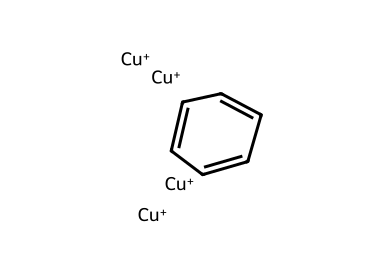 [Cu+].[Cu+].[Cu+].[Cu+].c1ccccc1